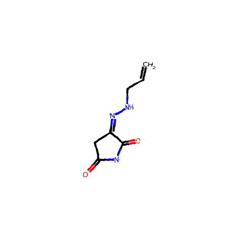 C=CCNN=C1CC(=O)[N]C1=O